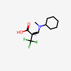 CN(/C=C(\C(=O)O)C(F)(F)F)C1CCCCC1